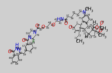 CCCC1=CC(=O)CC/C1=C1/C[C@@H]2CC[C@](OC(C)=O)(C(C)=O)[C@@]2(C)C[C@@H]1c1ccc(N(C)CCCCCC(=O)NCCOCCOCC(=O)N2CCN(C(=O)c3cc(Cc4n[nH]c(=O)c5ccccc45)ccc3F)CC2)cc1